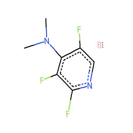 CN(C)c1c(F)cnc(F)c1F.[B]